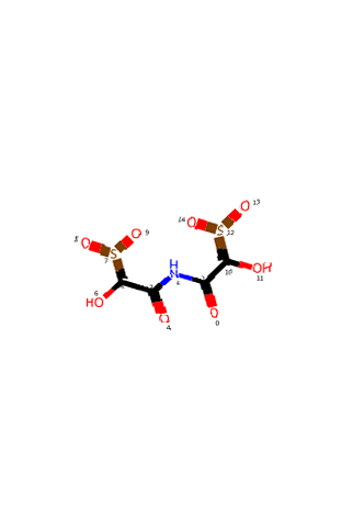 O=C(NC(=O)C(O)=S(=O)=O)C(O)=S(=O)=O